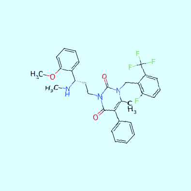 CN[C@@H](CCn1c(=O)c(-c2ccccc2)c(C)n(Cc2c(F)cccc2C(F)(F)F)c1=O)c1ccccc1OC